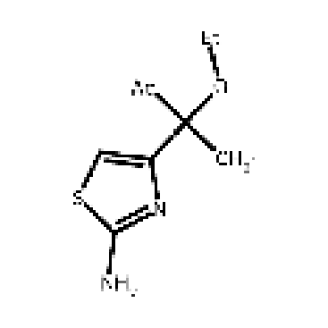 [CH2]C(OCC)(C(C)=O)c1csc(N)n1